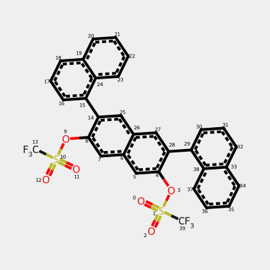 O=S(=O)(Oc1cc2cc(OS(=O)(=O)C(F)(F)F)c(-c3cccc4ccccc34)cc2cc1-c1cccc2ccccc12)C(F)(F)F